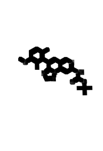 COc1ccc(C)c(-c2cc3cnc(NC(=O)OC(C)(C)C)cc3n3ncnc23)c1C